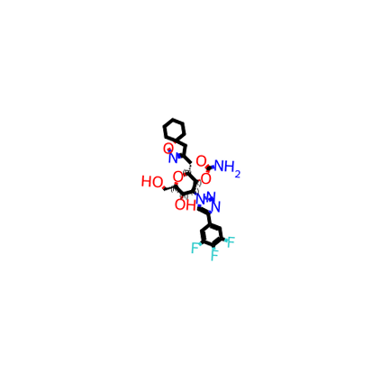 NC(=O)O[C@@H]1[C@@H](n2cc(-c3cc(F)c(F)c(F)c3)nn2)[C@@H](O)[C@@H](CO)O[C@@H]1CC1=NOC2(CCCCC2)C1